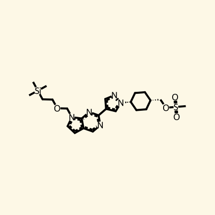 C[Si](C)(C)CCOCn1ccc2cnc(-c3cnn([C@H]4CC[C@@H](COS(C)(=O)=O)CC4)c3)nc21